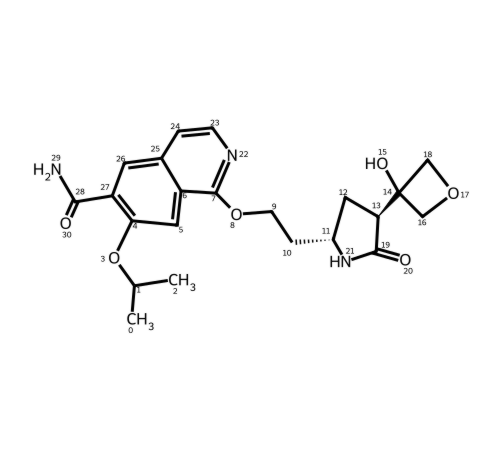 CC(C)Oc1cc2c(OCC[C@@H]3C[C@@H](C4(O)COC4)C(=O)N3)nccc2cc1C(N)=O